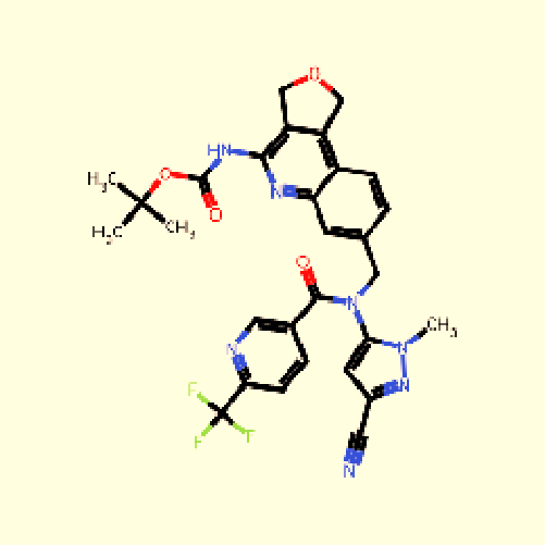 Cn1nc(C#N)cc1N(Cc1ccc2c3c(c(NC(=O)OC(C)(C)C)nc2c1)COC3)C(=O)c1ccc(C(F)(F)F)nc1